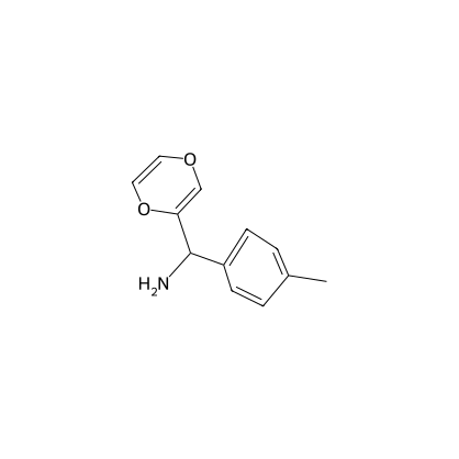 Cc1ccc(C(N)C2=COC=CO2)cc1